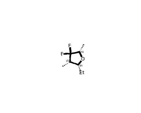 CC[C@H]1O[C@@H](C)C(F)(F)[C@H]1C